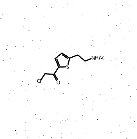 CC(=O)NCCc1ccc(C(=O)CCl)s1